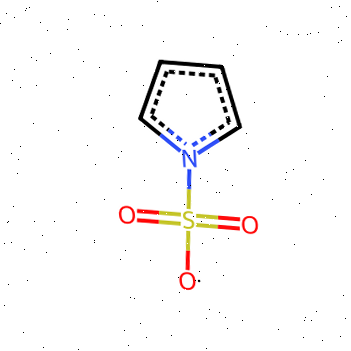 [O]S(=O)(=O)n1cccc1